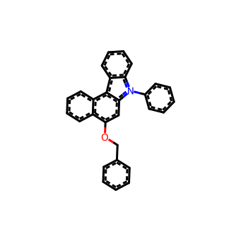 c1ccc(COc2cc3c(c4ccccc24)c2ccccc2n3-c2ccccc2)cc1